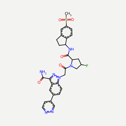 CS(=O)(=O)c1ccc2c(c1)CCC2NC(=O)C1CC(F)CN1C(=O)Cn1nc(C(N)=O)c2cc(-c3ccnnc3)ccc21